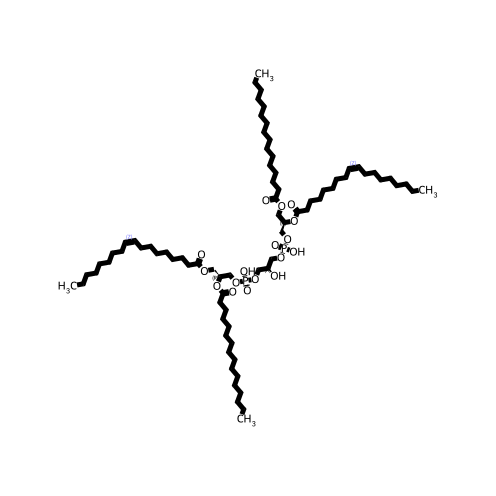 CCCCCCCC/C=C\CCCCCCCC(=O)OC[C@H](COP(=O)(O)OC[C@@H](O)COP(=O)(O)OC[C@@H](COC(=O)CCCCCCCCCCCCCCC)OC(=O)CCCCCCC/C=C\CCCCCCCC)OC(=O)CCCCCCCCCCCCCCC